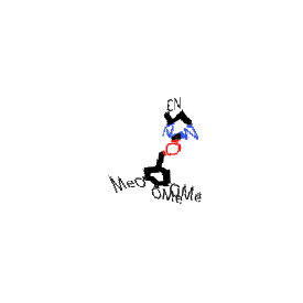 COc1cc(COc2nccc(CC#N)n2)cc(OC)c1OC